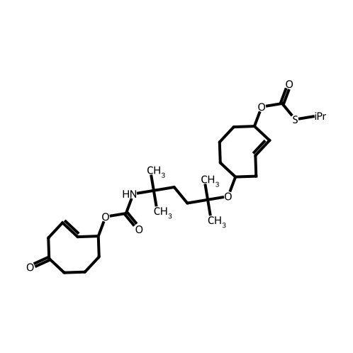 CC(C)SC(=O)OC1/C=C/CC(OC(C)(C)CCC(C)(C)NC(=O)OC2/C=C/CC(=O)CCC2)CCC1